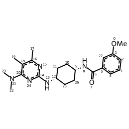 COc1cccc(C(=O)N[C@H]2CC[C@@H](Nc3nc(C)c(C)c(N(C)C)n3)CC2)c1